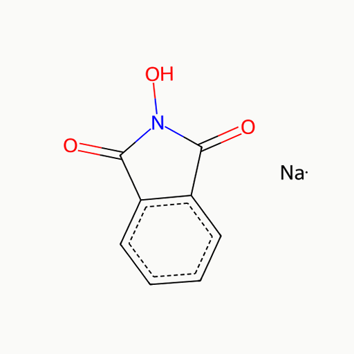 O=C1c2ccccc2C(=O)N1O.[Na]